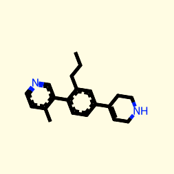 CCCc1cc(C2=CCNCC2)ccc1-c1cnccc1C